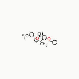 [CH]=Cc1ccc(OCc2ccccc2)cc1C(=C)c1ccc(-c2cccc(C(F)(F)F)c2)o1